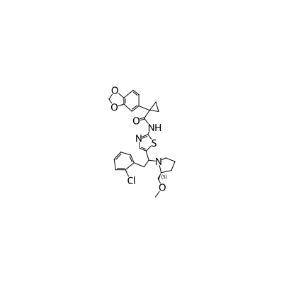 COC[C@@H]1CCCN1C(Cc1ccccc1Cl)c1cnc(NC(=O)C2(c3ccc4c(c3)OCO4)CC2)s1